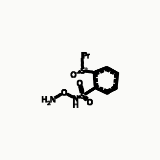 CC(C)[S+]([O-])c1ccccc1S(=O)(=O)NON